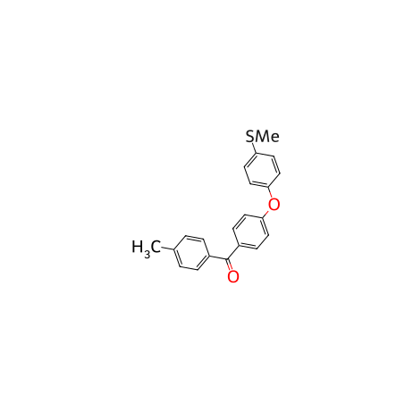 CSc1ccc(Oc2ccc(C(=O)c3ccc(C)cc3)cc2)cc1